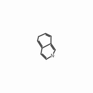 C1=CC2=C[N]C=CC2=CC1